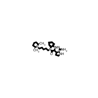 C[C@@H]1CCC[C@H](C)N1CCCCCN1C(=O)C(C2CCNN2C(=N)N)Oc2ccccc21